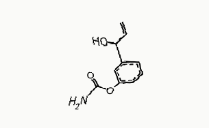 C=CC(O)c1cccc(OC(N)=O)c1